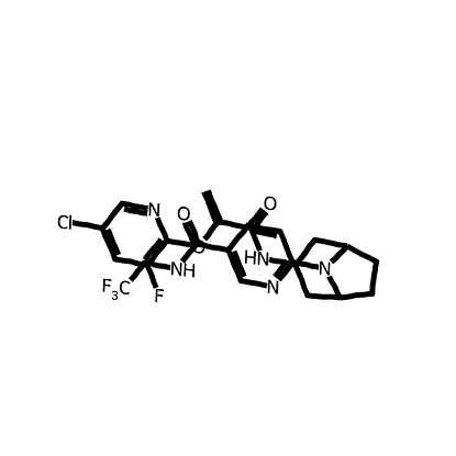 C=C(Oc1ncc(Cl)cc1F)C(=O)NC1CC2CCC(C1)N2c1ccc(C(=O)NCC(F)(F)F)cn1